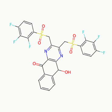 O=C1c2ccccc2C(O)c2nc(CS(=O)(=O)c3ccc(F)c(F)c3F)c(CS(=O)(=O)c3ccc(F)c(F)c3F)nc21